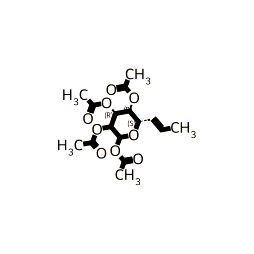 CC=C[C@@H]1OC(OC(C)=O)C(OC(C)=O)[C@H](OC(C)=O)[C@@H]1OC(C)=O